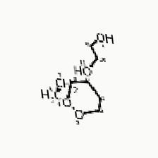 C1CCOOC1.C=C.OCCO